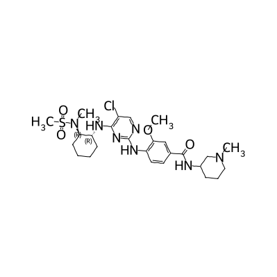 COc1cc(C(=O)NC2CCCN(C)C2)ccc1Nc1ncc(Cl)c(N[C@@H]2CCCC[C@H]2N(C)S(C)(=O)=O)n1